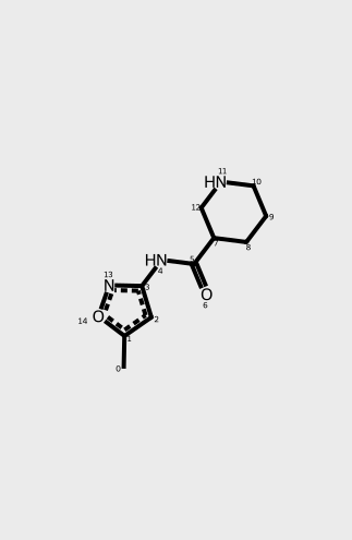 Cc1cc(NC(=O)C2CCCNC2)no1